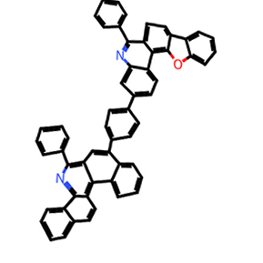 c1ccc(-c2nc3c4ccccc4ccc3c3c2cc(-c2ccc(-c4ccc5c(c4)nc(-c4ccccc4)c4ccc6c7ccccc7oc6c45)cc2)c2ccccc23)cc1